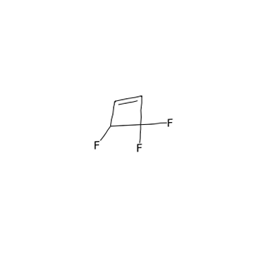 FC1C=CC1(F)F